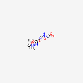 COc1cc(CC(=O)N2CCC(NC(=O)N3CCC(C(=O)O)CC3)C2)ccc1NC(=O)Nc1ccccc1C